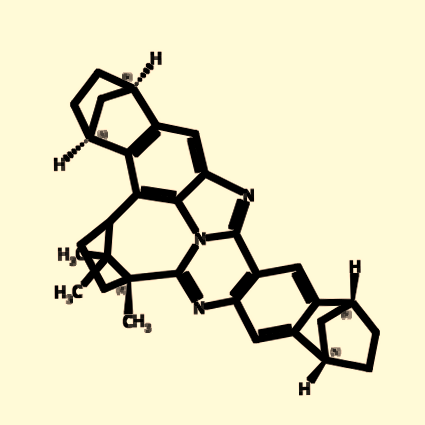 CC1(C)C2CC[C@@]1(C)c1nc3cc4c(cc3c3nc5cc6c(c2c5n13)[C@H]1CC[C@@H]6C1)[C@@H]1CC[C@H]4C1